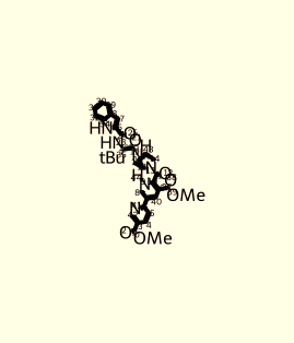 COC(=O)c1ccc(-c2cnc(C(=O)N3C[C@@H]4C[C@H]3CN4C(=O)[C@@H](NC(=O)c3cc4ccccc4[nH]3)C(C)(C)C)c(C(=O)OC)c2)nc1